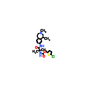 CC1CN(C)CCc2ccc(NC(=O)C(C)(C)NC(=O)Oc3ccc(Cl)s3)cc21